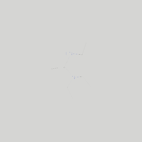 CCN[SiH](C)N(CC)CC